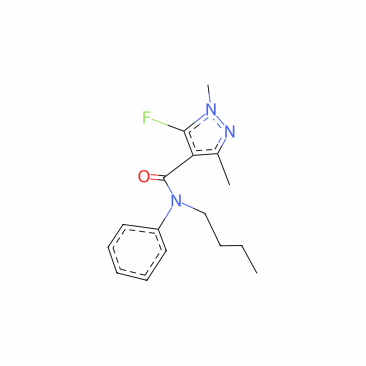 CCCCN(C(=O)c1c(C)nn(C)c1F)c1ccccc1